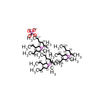 CCCCC(C)[P+](C)(CCCC)CCCC.CCCCC(C)[P+](C)(CCCC)CCCC.CCCCC(C)[P+](C)(CCCC)CCCC.O=P([O-])([O-])[O-]